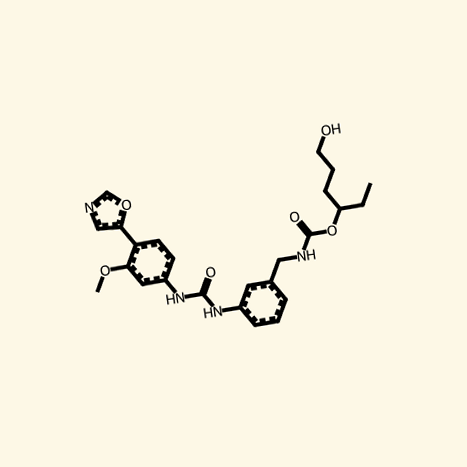 CCC(CCCO)OC(=O)NCc1cccc(NC(=O)Nc2ccc(-c3cnco3)c(OC)c2)c1